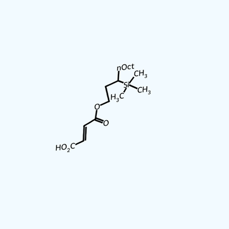 CCCCCCCCC(CCOC(=O)C=CC(=O)O)[Si](C)(C)C